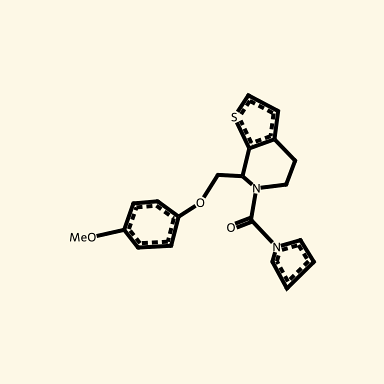 COc1ccc(OCC2c3sccc3CCN2C(=O)n2cccc2)cc1